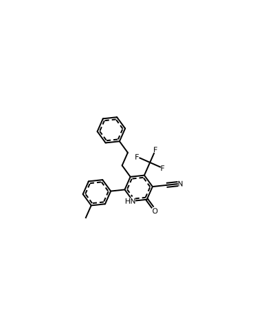 Cc1cccc(-c2[nH]c(=O)c(C#N)c(C(F)(F)F)c2CCc2ccccc2)c1